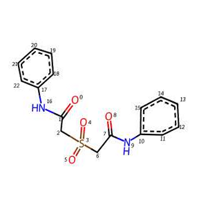 O=C(CS(=O)(=O)CC(=O)Nc1ccccc1)Nc1ccccc1